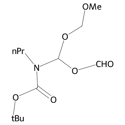 CCCN(C(=O)OC(C)(C)C)C(OC=O)OCOC